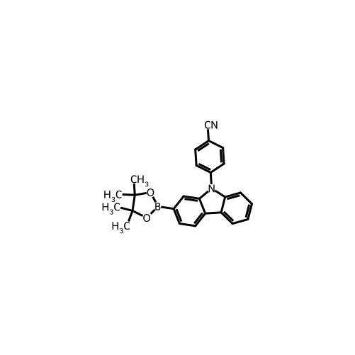 CC1(C)OB(c2ccc3c4ccccc4n(-c4ccc(C#N)cc4)c3c2)OC1(C)C